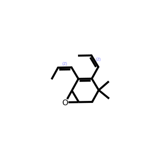 C/C=C\C1=C(/C=C\C)C(C)(C)CC2OC12